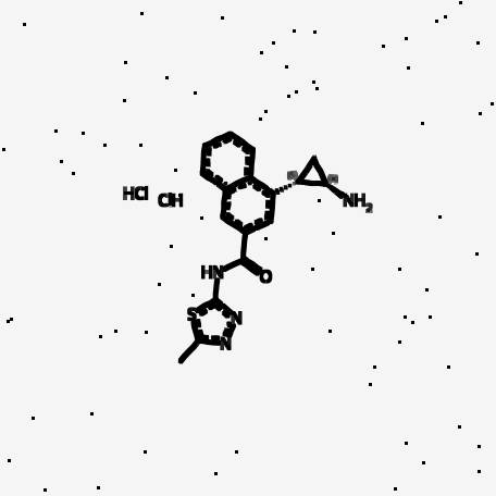 Cc1nnc(NC(=O)c2cc([C@@H]3C[C@H]3N)c3ccccc3c2)s1.Cl.Cl